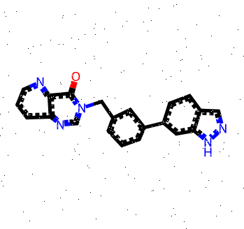 O=c1c2ncccc2ncn1Cc1cccc(-c2ccc3cn[nH]c3c2)c1